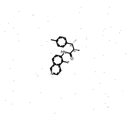 Cc1ccc([C@H](C)[C@@H](C)C(=O)Nc2ccc3cnccc3c2F)cc1